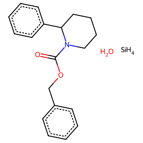 O.O=C(OCc1ccccc1)N1CCCCC1c1ccccc1.[SiH4]